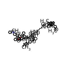 CCN1CCN(c2ccc(C(=O)NC3(C(=O)N[C@@H](CCCCNC(=O)C4CCN(S(=O)(=O)c5ccccc5-c5c6cc/c(=[N+](/C)c7ccccc7)cc-6oc6cc(N(C)c7ccccc7)ccc56)CC4)C(=O)NCCNC(=O)CCCCCNC(=O)CCC4=C(C)C5=Cc6ccc(-c7ccc(OC)cc7)n6[B-](F)(F)[N+]5=C4C)CCCCC3)cc2)CC1